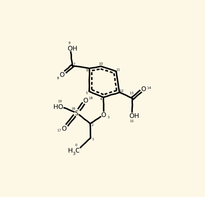 CCC(Oc1cc(C(=O)O)ccc1C(=O)O)S(=O)(=O)O